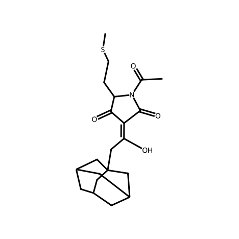 CSCCC1C(=O)/C(=C(/O)CC23CC4CC(CC(C4)C2)C3)C(=O)N1C(C)=O